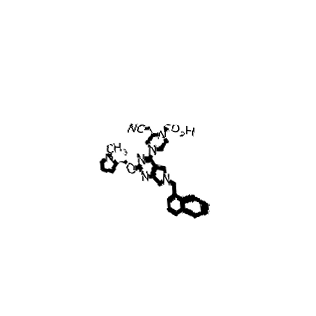 CN1CCC[C@H]1COc1nc2c(c(N3CCN(C(=O)O)[C@@H](CC#N)C3)n1)CN(Cc1cccc3ccccc13)C2